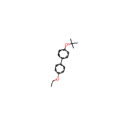 CCOc1ccc(-c2ccc(OC(C)(C)C)cc2)cc1